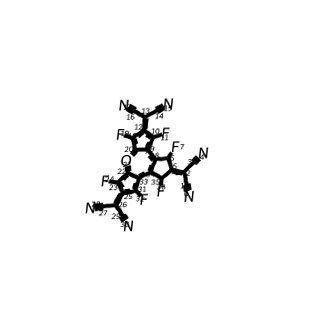 N#CC(C#N)=C1C(F)c2c3c(F)c(=C(C#N)C#N)c(F)c-3oc3c(F)c(=C(C#N)C#N)c(F)c-3c2C1F